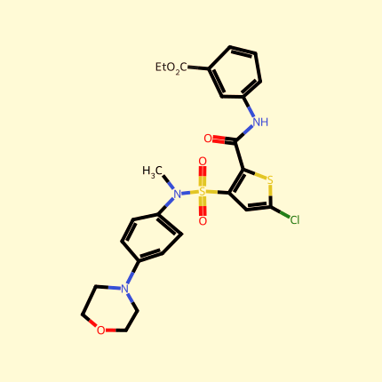 CCOC(=O)c1cccc(NC(=O)c2sc(Cl)cc2S(=O)(=O)N(C)c2ccc(N3CCOCC3)cc2)c1